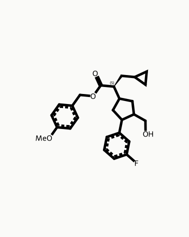 COc1ccc(COC(=O)[C@@H](CC2CC2)C2CC(CO)C(c3cccc(F)c3)C2)cc1